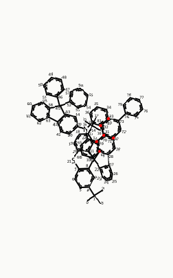 CC(C)(C)c1ccc2c(c1)C1(c3cc(C(C)(C)C)ccc3S2)c2ccccc2-c2ccc(-c3ccccc3N(c3ccc4c(c3)C(c3ccccc3)(c3ccccc3)c3ccccc3-4)c3ccccc3-c3ccc(-c4ccccc4)cc3)cc21